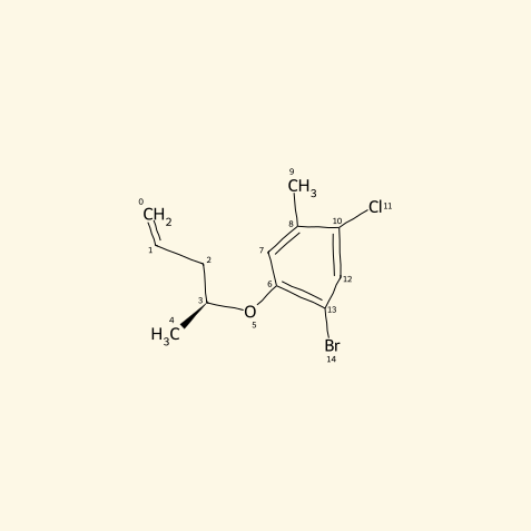 C=CC[C@H](C)Oc1cc(C)c(Cl)cc1Br